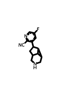 N#Cc1ncc(F)cc1C1CC2CNCC3C2C13